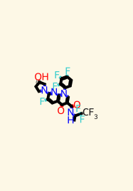 CC(NC(=O)c1cn(-c2ccc(F)c(F)c2F)c2nc(N3CC[C@H](O)C3)c(F)cc2c1=O)C(F)(F)C(F)(F)F